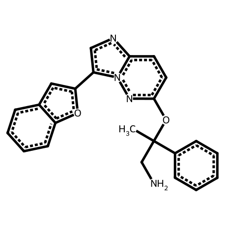 CC(CN)(Oc1ccc2ncc(-c3cc4ccccc4o3)n2n1)c1ccccc1